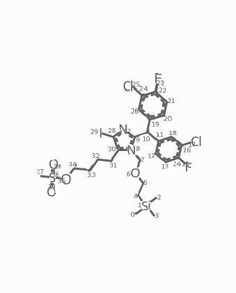 C[Si](C)(C)CCOCn1c(C(c2ccc(F)c(Cl)c2)c2ccc(F)c(Cl)c2)nc(I)c1CCCCOS(C)(=O)=O